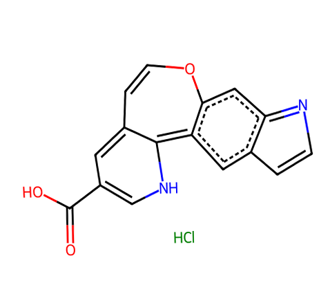 Cl.O=C(O)C1=CNC2=c3cc4c(cc3OC=CC2=C1)=NC=C4